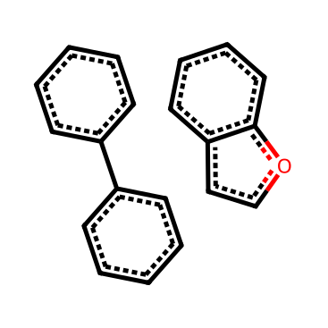 c1ccc(-c2ccccc2)cc1.c1ccc2occc2c1